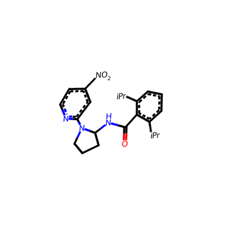 CC(C)c1cccc(C(C)C)c1C(=O)NC1CCCN1c1cc([N+](=O)[O-])ccn1